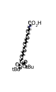 CC(C)(C)OC(=O)N(CCOCCOCCOCCOCCOC/C=C/C(=O)O)C(=O)OC(C)(C)C